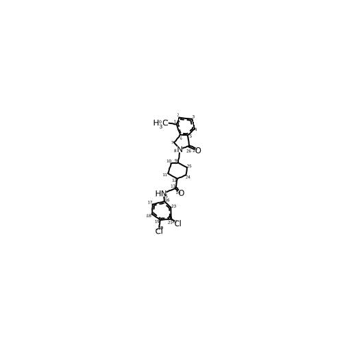 Cc1cccc2c1CN(C1CCC(C(=O)Nc3ccc(Cl)c(Cl)c3)CC1)C2=O